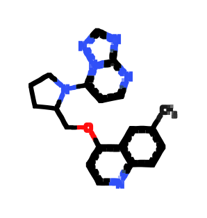 FC(F)(F)c1ccc2nccc(OCC3CCCN3c3ccnc4ncnn34)c2c1